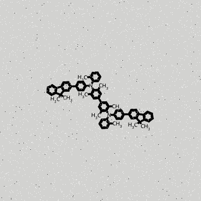 Cc1ccccc1N(c1ccc(-c2ccc3c(c2)C(C)(C)c2ccccc2-3)cc1)c1c(C)cc(-c2cc(C)c(N(c3ccc(-c4ccc5c(c4)C(C)(C)c4ccccc4-5)cc3)c3ccccc3C)c(C)c2)cc1C